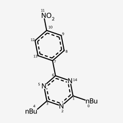 CCCCc1nc(CCCC)nc(-c2ccc([N+](=O)[O-])cc2)n1